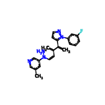 C=C(/C=C\N(N)c1cncc(C)c1)C(=C)c1ccnn1-c1cccc(F)c1